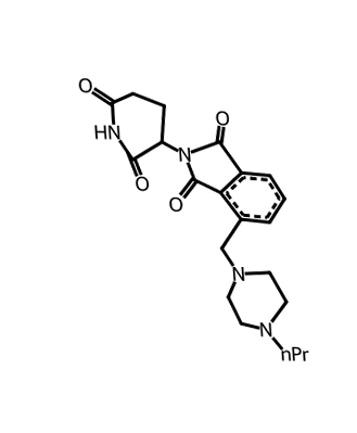 CCCN1CCN(Cc2cccc3c2C(=O)N(C2CCC(=O)NC2=O)C3=O)CC1